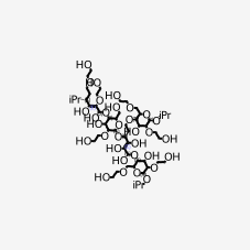 CC(C)O[C@@H]1OC(COCCO)[C@H](OCC[C@H](O[C@@H]2OC(CO)[C@H](O[C@H](O)/C(OCCO)=C(\O)[C@@H](CCOCCO)C(C)C)C(O)C2OCCO)/C(O)=C(\O)[C@@H](O)O[C@H]2C(COCCO)O[C@@H](OC(C)C)C(OCCO)C2O)C(O)C1OCCO